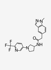 Cn1ncc2cc(CC(=O)NC3CCN(c4ccc(C(F)(F)F)nc4)C3)ccc21